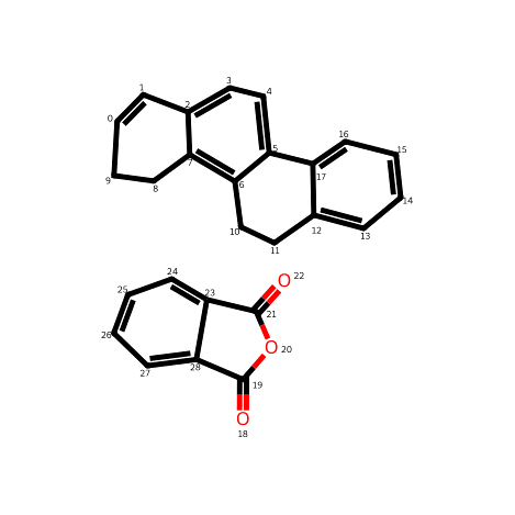 C1=Cc2ccc3c(c2CC1)CCc1ccccc1-3.O=C1OC(=O)c2ccccc21